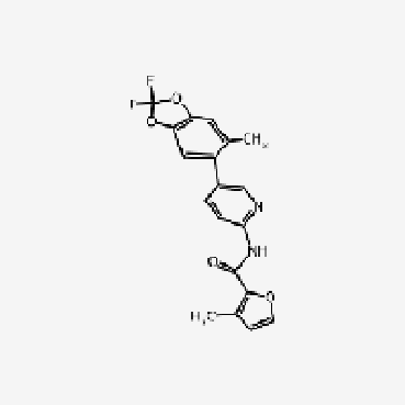 Cc1cc2c(cc1-c1ccc(NC(=O)c3occc3C)nc1)OC(F)(F)O2